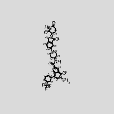 Cn1cc(-c2cccc(C(F)(F)F)c2)c2sc(C(=O)NC3CCN(c4ccc5c(c4)C(=O)N(C4CCC(=O)NC4=O)C5)CC3)cc2c1=O